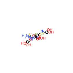 Nc1nc(C(=NOCc2ccc(O)c(O)c2)C(=O)N[C@@H]2C(=O)N3C(OC(=O)O)=C(CSc4nnc(-c5ccc(O)c(O)c5)s4)CS[C@@H]23)cs1